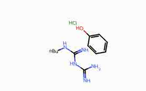 CCCCNC(=N)NC(=N)N.Cl.Oc1ccccc1